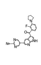 N#Cc1ncc(-c2cnc3[nH]cc(C(=O)c4cccc(N5CCCC5)c4F)c3c2)cn1